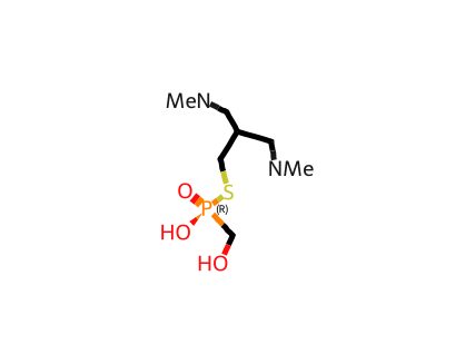 CNCC(CNC)CS[P@](=O)(O)CO